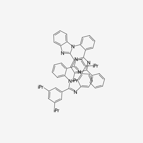 CC(C)c1cc(-c2nc3ccccc3n2-c2ccccc2-c2nc(-c3ccccc3)nc(-c3ccccc3-n3c(-c4cc(C(C)C)cc(C(C)C)c4)nc4ccccc43)n2)cc(C(C)C)c1